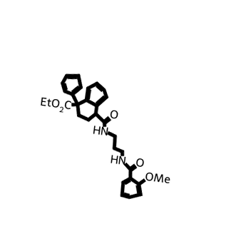 CCOC(=O)C1(c2ccccc2)CCC(C(=O)NCCCNC(=O)c2ccccc2OC)c2ccccc21